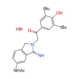 Br.CC(=O)Nc1ccc2c(c1)C(=N)N(CC(=O)c1cc(C(C)(C)C)c(O)c(C(C)(C)C)c1)C2